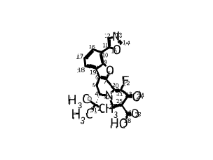 CC(C)(C)[C@@H]1Cc2c(oc3c(-c4cnco4)cccc23)-c2c(F)c(=O)c(C(=O)O)cn21